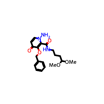 COC(CCCNC(=O)c1c(OCc2ccccc2)c(=O)ccn1N)OC